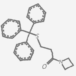 O=C(CCSC(c1ccccc1)(c1ccccc1)c1ccccc1)N1CCC1